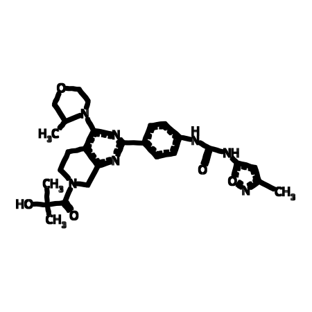 Cc1cc(NC(=O)Nc2ccc(-c3nc4c(c(N5CCOCC5C)n3)CCN(C(=O)C(C)(C)O)C4)cc2)on1